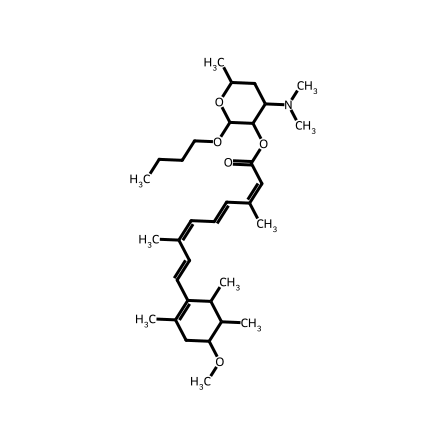 CCCCOC1OC(C)CC(N(C)C)C1OC(=O)C=C(C)C=CC=C(C)C=CC1=C(C)CC(OC)C(C)C1C